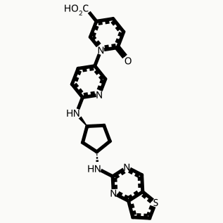 O=C(O)c1ccc(=O)n(-c2ccc(N[C@H]3CC[C@H](Nc4ncc5sccc5n4)C3)nc2)c1